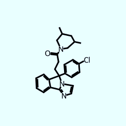 CC1CC(C)CN(C(=O)CCC2(c3ccc(Cl)cc3)c3ccccc3-c3nccn32)C1